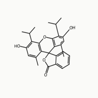 Cc1cc(O)c(C(C)C)c2c1C1(OC(=O)c3ccccc31)c1c(C)cc(O)c(C(C)C)c1O2